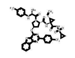 C=C[C@@H]1C[C@]1(NC(=O)[C@@H]1C[C@@H](Oc2nc(-c3ccc(C(F)(F)F)cc3)nc3c2oc2ccccc23)CN1C(=O)[C@@H](Nc1ccc(C(F)(F)F)cc1)C(C)(C)C)C(=O)NS(=O)(=O)C1CC1